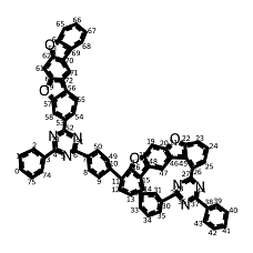 c1ccc(-c2nc(-c3ccc(-c4cccc5c4oc4cc6oc7cccc(-c8nc(-c9ccccc9)nc(-c9ccccc9)n8)c7c6cc45)cc3)nc(-c3ccc4c(c3)oc3cc5oc6ccccc6c5cc34)n2)cc1